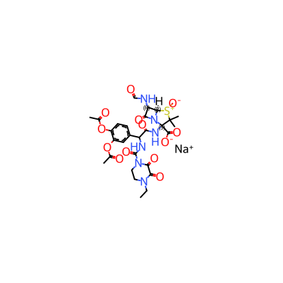 CCN1CCN(C(=O)NC(C(=O)N[C@@]2(C(=O)[O-])N3C(=O)[C@@H](NC=O)[C@H]3[S+]([O-])C2(C)C)c2ccc(OC(C)=O)c(OC(C)=O)c2)C(=O)C1=O.[Na+]